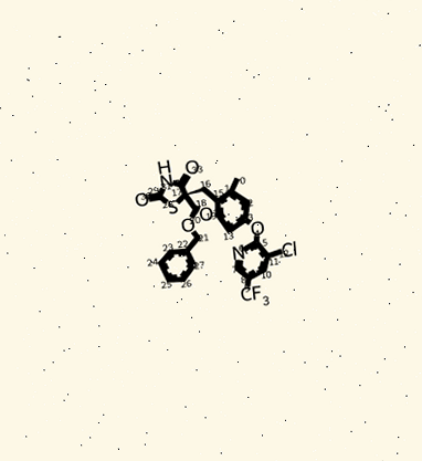 Cc1cc(Oc2ncc(C(F)(F)F)cc2Cl)ccc1C[C@@]1(C(=O)OCc2ccccc2)SC(=O)NC1=O